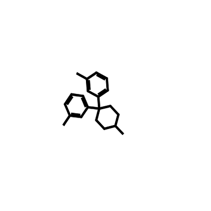 Cc1cccc(C2(c3cccc(C)c3)CCC(C)CC2)c1